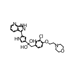 OC(O)(Cc1ccc(OCCN2CCOCC2)c(Cl)c1)c1c[nH]c(-c2n[nH]c3ncccc23)c1